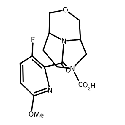 COc1ccc(F)c(C(=O)N2C3CCN(C(=O)O)CC2COC3)n1